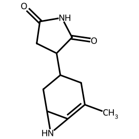 CC1=C2NC2CC(C2CC(=O)NC2=O)C1